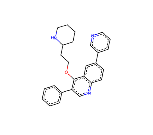 c1ccc(-c2cnc3ccc(-c4cccnc4)cc3c2OCCC2CCCCN2)cc1